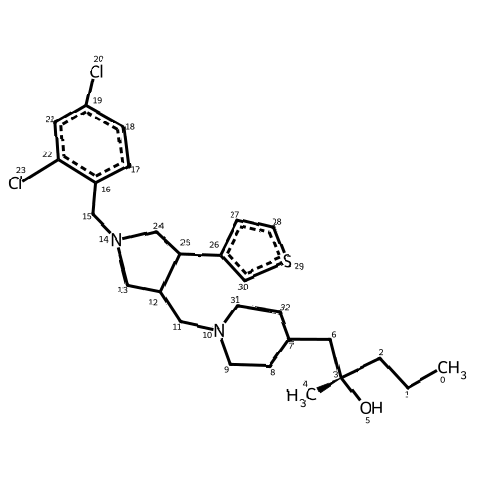 CCC[C@](C)(O)CC1CCN(CC2CN(Cc3ccc(Cl)cc3Cl)CC2c2ccsc2)CC1